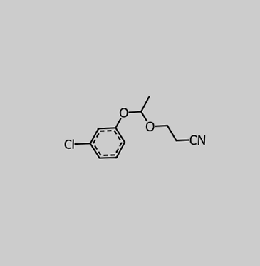 CC(OCCC#N)Oc1cccc(Cl)c1